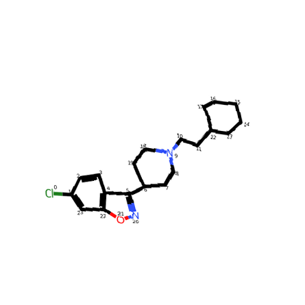 Clc1ccc2c(C3CCN(CCC4CC[CH]CC4)CC3)noc2c1